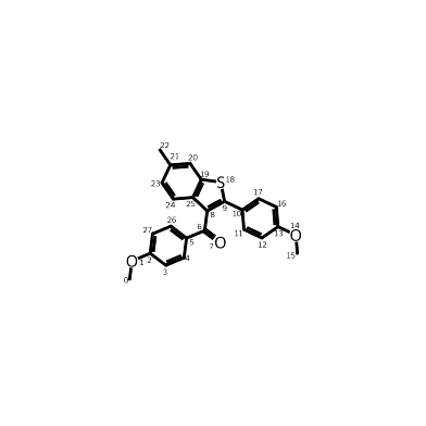 COc1ccc(C(=O)c2c(-c3ccc(OC)cc3)sc3cc(C)ccc23)cc1